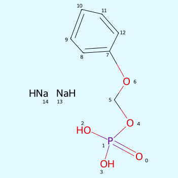 O=P(O)(O)OCOc1ccccc1.[NaH].[NaH]